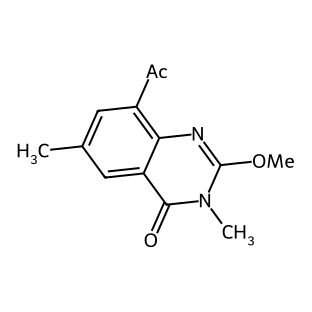 COc1nc2c(C(C)=O)cc(C)cc2c(=O)n1C